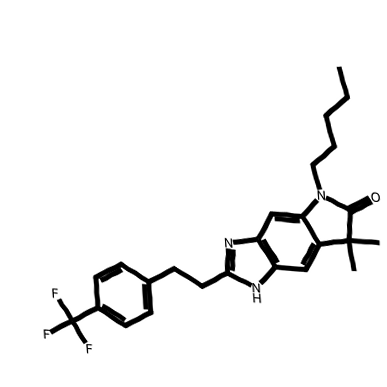 CCCCCN1C(=O)C(C)(C)c2cc3[nH]c(CCc4ccc(C(F)(F)F)cc4)nc3cc21